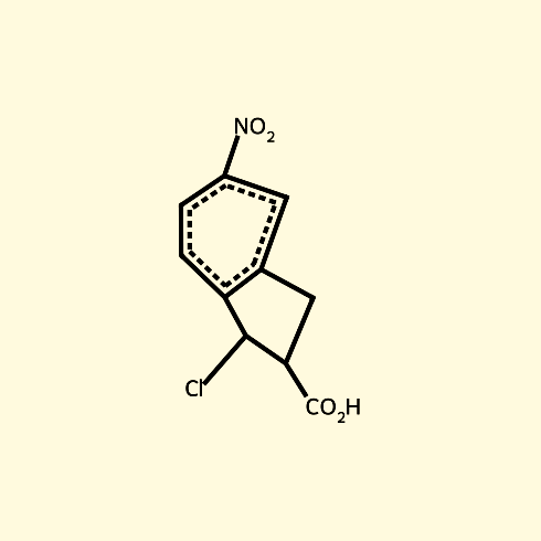 O=C(O)C1Cc2cc([N+](=O)[O-])ccc2C1Cl